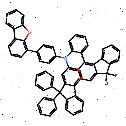 CCC1(CC)c2ccccc2-c2c(-c3ccccc3N(c3ccc(-c4cccc5c4oc4ccccc45)cc3)c3ccc4c(c3)C(c3ccccc3)(c3ccccc3)c3ccccc3-4)cccc21